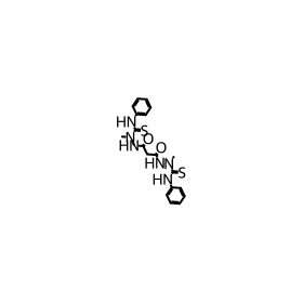 CN(NC(=O)CC(=O)NN(C)C(=S)Nc1ccccc1)C(=S)Nc1ccccc1